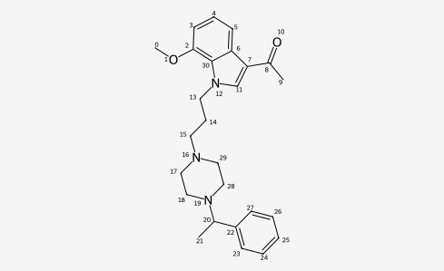 COc1cccc2c(C(C)=O)cn(CCCN3CCN(C(C)c4ccccc4)CC3)c12